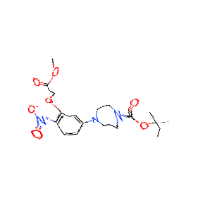 COC(=O)COc1cc(N2CCN(C(=O)OC(C)(C)C)CC2)ccc1[N+](=O)[O-]